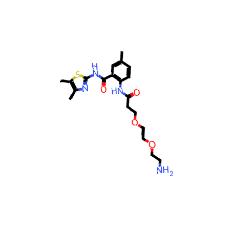 Cc1ccc(NC(=O)CCOCCOCCN)c(C(=O)Nc2nc(C)c(C)s2)c1